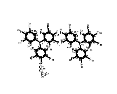 Fc1c(F)c(F)c(P(c2c(F)c(F)c(F)c(F)c2F)c2c(F)c(F)c(F)c(F)c2F)c(F)c1F.Fc1c(F)c(F)c(P(c2c(F)c(F)c(F)c(F)c2F)c2c(F)c(F)c(F)c(F)c2F)c(F)c1F.[Cl-].[Cl-].[Pd+2]